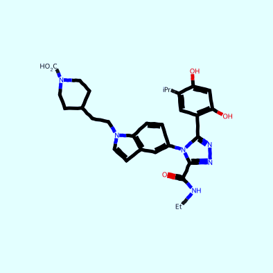 CCNC(=O)c1nnc(-c2cc(C(C)C)c(O)cc2O)n1-c1ccc2c(ccn2CCC2CCN(C(=O)O)CC2)c1